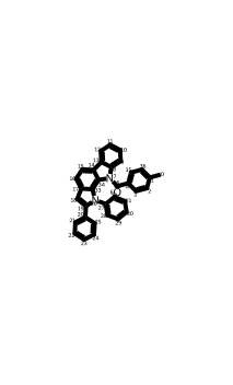 Cc1ccc(C(=O)n2c3ccccc3c3ccc4cc(-c5ccccc5)n(-c5ccccc5)c4c32)cc1